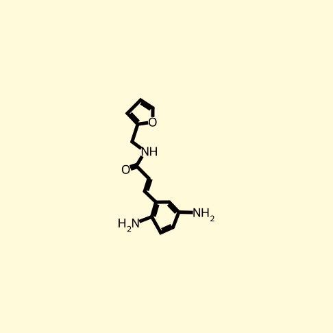 Nc1ccc(N)c(C=CC(=O)NCc2ccco2)c1